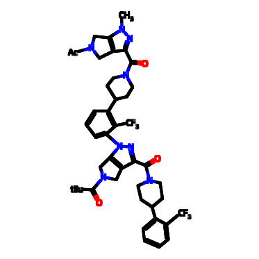 CC(=O)N1Cc2c(C(=O)N3CCC(c4cccc(-n5nc(C(=O)N6CCC(c7ccccc7C(F)(F)F)CC6)c6c5CN(C(=O)C(C)(C)C)C6)c4C(F)(F)F)CC3)nn(C)c2C1